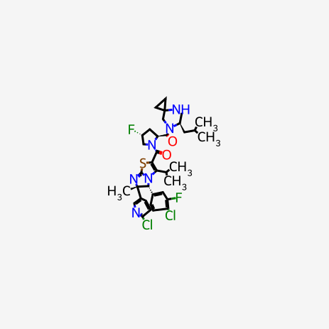 CC(C)C[C@@H]1CNC2(CC2)CN1C(=O)[C@@H]1C[C@@H](F)CN1C(=O)C1=C(C(C)C)N2C(=N[C@@](C)(c3ccc(Cl)nc3)[C@H]2c2ccc(Cl)c(F)c2)S1